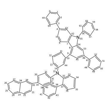 c1ccc(-c2ccc3c4c(-c5cccc(N(c6ccc(-c7ccc8ccccc8c7)cc6)c6ccccc6-c6ccccc6)c5)cc(-c5ccccc5)cc4n(-c4ccccc4)c3c2)cc1